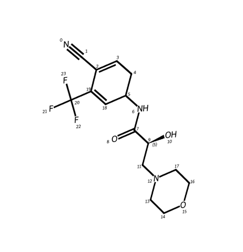 N#CC1=CCC(NC(=O)[C@@H](O)CN2CCOCC2)C=C1C(F)(F)F